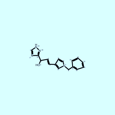 OC(C=Cc1ccn(Cc2ccccc2)c1)c1nc[nH]n1